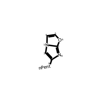 CCCCCc1cn2ccoc2n1